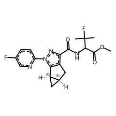 COC(=O)C(NC(=O)c1nn(-c2ccc(F)cn2)c2c1C[C@H]1C[C@@H]21)C(C)(C)F